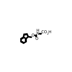 O=C(O)CNC(=O)OCC1C=Cc2ccccc21